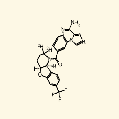 [2H]C1([2H])CC[C@@H]2Oc3cc(C(F)(F)F)ccc3[C@@H]2N1C(=O)c1ccc2nc(N)c3cncn3c2c1